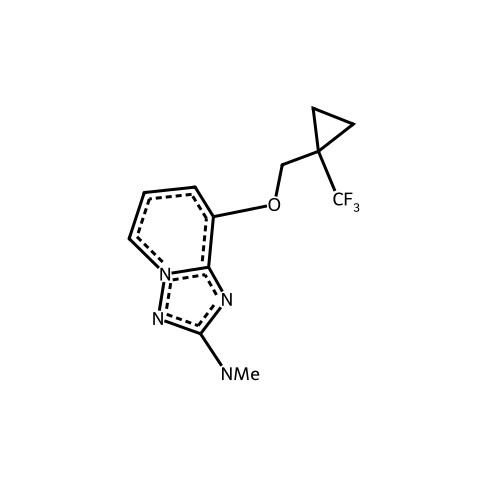 CNc1nc2c(OCC3(C(F)(F)F)CC3)cccn2n1